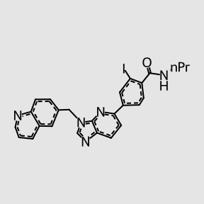 CCCNC(=O)c1ccc(-c2ccc3ncn(Cc4ccc5ncccc5c4)c3n2)cc1I